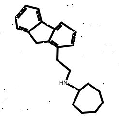 c1ccc2c(c1)Cc1c(CCNC3CCCCCC3)cccc1-2